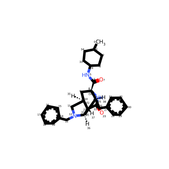 CC1CCC(NC(=O)[C@@]23C[C@@H]4CN(Cc5ccccc5)[C@@H]([C@@H]4C(=O)N2)[C@H]3Cc2ccccc2)CC1